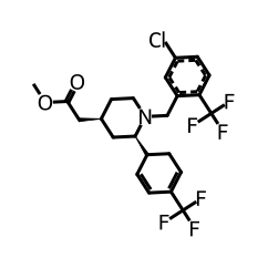 COC(=O)C[C@H]1CCN(Cc2cc(Cl)ccc2C(F)(F)F)[C@@H](C2C=CC(C(F)(F)F)=CC2)C1